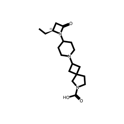 CC[C@H]1CC(=O)N1C1CCN(C2CC3(CCN(C(=O)O)C3)C2)CC1